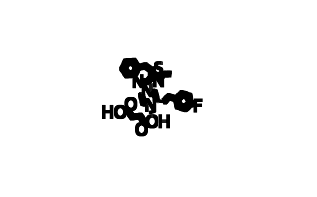 Cc1nc2c(s1)Cc1ccccc1N=C2N1CCN(C)[C@@H](CCc2ccc(F)cc2)C1.O=C(O)CCC(=O)O